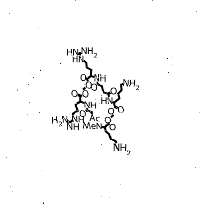 CNC(CCCCN)C(=O)OCOC(=O)C(CCCCN)NC(=O)CCC(=O)NC(CCCNC(=N)N)C(=O)OCOC(=O)C(CCCNC(=N)N)NC(=O)CC(C)=O